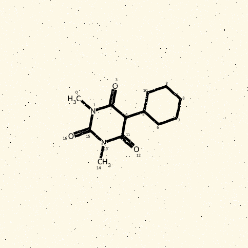 CN1C(=O)C(C2CCCCC2)C(=O)N(C)C1=O